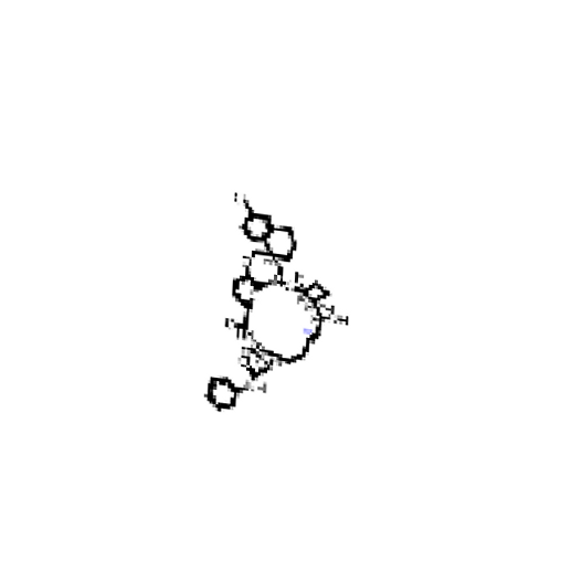 O=C(C[C@@H]1CC/C=C/[C@H](O)[C@@H]2CC[C@H]2CN2C[C@@]3(CCCc4cc(Cl)ccc43)COc3ccc(cc32)C(=O)NS1(=O)=O)Nc1ccccc1